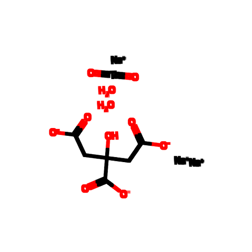 O.O.O=C([O-])CC(O)(CC(=O)[O-])C(=O)[O-].[Na+].[Na+].[Na+].[O]=[Ti]=[O]